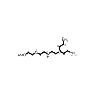 COCCOCCNCCN(CCN)CCN